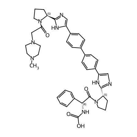 CN1CCN(CC(=O)N2CCC[C@H]2c2ncc(-c3ccc(-c4ccc(-c5cnc([C@@H]6CCCN6C(=O)[C@H](NC(=O)O)c6ccccc6)[nH]5)cc4)cc3)[nH]2)CC1